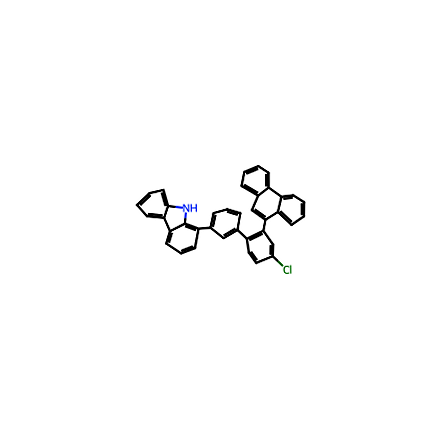 Clc1ccc(-c2cccc(-c3cccc4c3[nH]c3ccccc34)c2)c(-c2cc3ccccc3c3ccccc23)c1